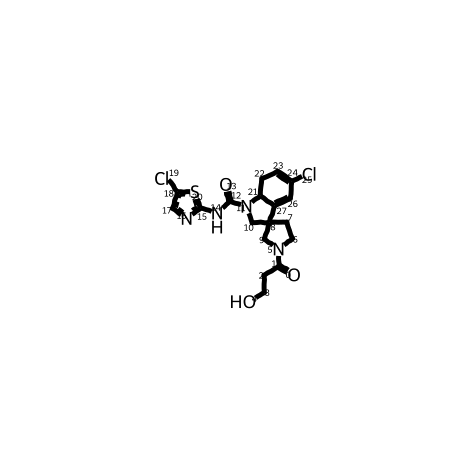 O=C(CCO)N1CCC2(C1)CN(C(=O)Nc1ncc(Cl)s1)C1CC=C(Cl)C=C12